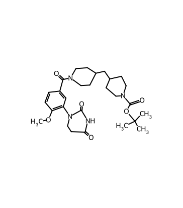 COc1ccc(C(=O)N2CCC(CC3CCN(C(=O)OC(C)(C)C)CC3)CC2)cc1N1CCC(=O)NC1=O